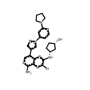 CCc1nc2c(N)ncc(-c3cnn(-c4ccnc(N5CCCC5)c4)c3)c2nc1N[C@@H]1CC[C@H](O)C1